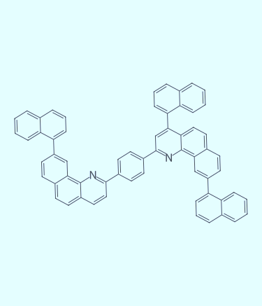 c1ccc2c(-c3ccc4ccc5ccc(-c6ccc(-c7cc(-c8cccc9ccccc89)c8ccc9ccc(-c%10cccc%11ccccc%10%11)cc9c8n7)cc6)nc5c4c3)cccc2c1